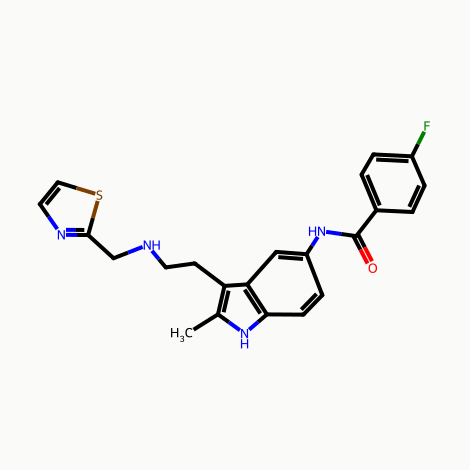 Cc1[nH]c2ccc(NC(=O)c3ccc(F)cc3)cc2c1CCNCc1nccs1